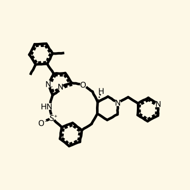 Cc1cccc(C)c1-c1cc2nc(n1)N[S+]([O-])c1cccc(c1)CC1CCN(Cc3cccnc3)C[C@@H]1CO2